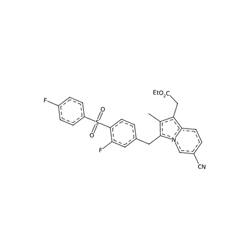 CCOC(=O)Cc1c(C)c(Cc2ccc(S(=O)(=O)c3ccc(F)cc3)c(F)c2)n2cc(C#N)ccc12